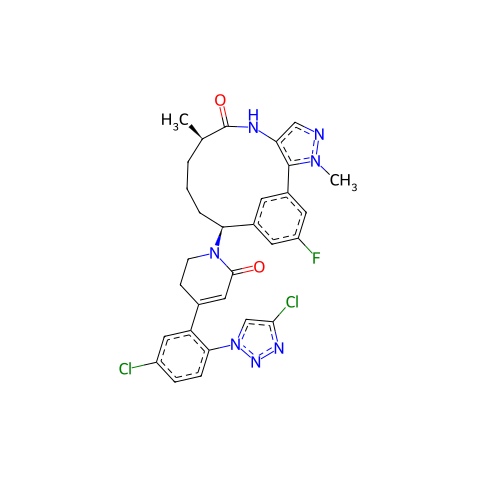 C[C@@H]1CCC[C@H](N2CCC(c3cc(Cl)ccc3-n3cc(Cl)nn3)=CC2=O)c2cc(F)cc(c2)-c2c(cnn2C)NC1=O